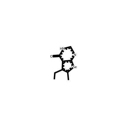 CCc1c(C)[se]c2nc[nH]c(=O)c12